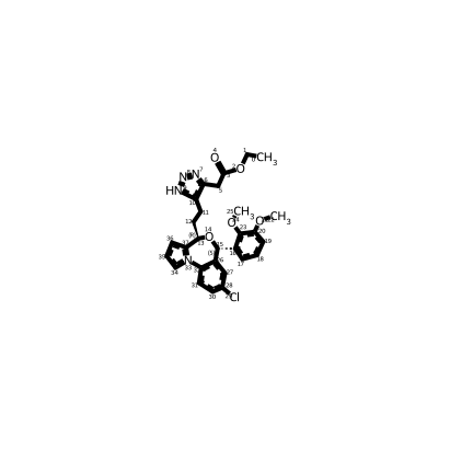 CCOC(=O)Cc1nn[nH]c1CC[C@H]1O[C@H](c2cccc(OC)c2OC)c2cc(Cl)ccc2-n2cccc21